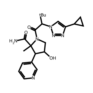 CC(C)(C)C(C(=O)N1CC(O)C(c2cccnc2)C1(C)C(N)=O)n1cc(C2CC2)nn1